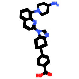 NC1CCN(c2cccc3ccc(-n4cnc5cc(-c6ccc(C(=O)O)cc6)ccc54)nc23)CC1